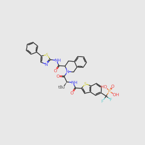 CC(C)(C)[C@H](NC(=O)c1cc2cc(C(F)(F)P(=O)(O)O)ccc2s1)C(=O)N1Cc2ccccc2CC1C(=O)Nc1ncc(-c2ccccc2)s1